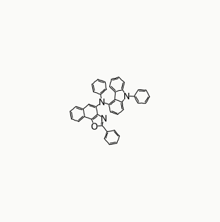 c1ccc(-c2nc3c(N(c4ccccc4)c4cccc5c4c4ccccc4n5-c4ccccc4)cc4ccccc4c3o2)cc1